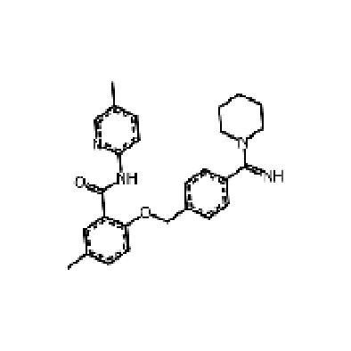 Cc1ccc(NC(=O)c2cc(C)ccc2OCc2ccc(C(=N)N3CCCCC3)cc2)nc1